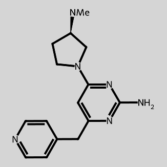 CN[C@@H]1CCN(c2cc(Cc3ccncc3)nc(N)n2)C1